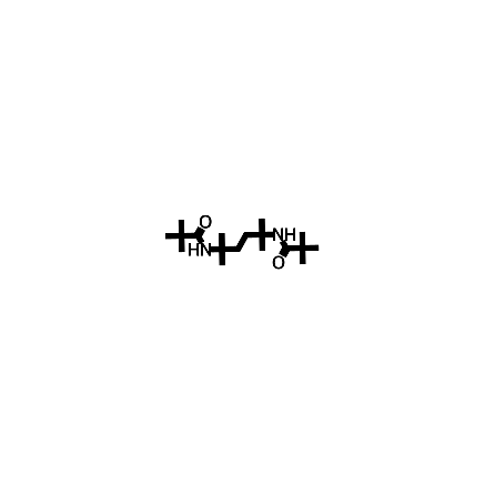 CC(C)(CCC(C)(C)NC(=O)C(C)(C)C)NC(=O)C(C)(C)C